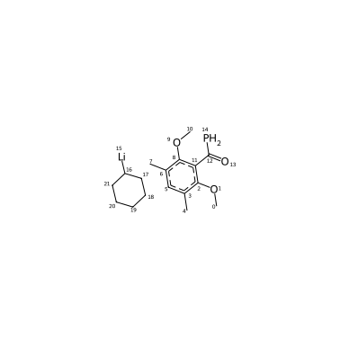 COc1c(C)cc(C)c(OC)c1C(=O)P.[Li][CH]1CCCCC1